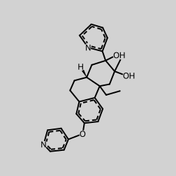 CCC12CC(C)(O)C(O)(c3ccccn3)C[C@H]1CCc1cc(Oc3ccncc3)ccc12